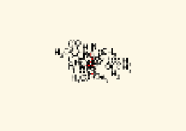 C=CCN1[C@@H]2c3c(cc(C)c(OC)c3O)C[C@@H]1[C@H](C#N)N1C2[C@@H]2SC[C@]3(NCCc4cc(OC(=O)OC(C)(C)C)c(OC)cc43)C(=O)OC[C@H]1c1c3c(c(C)c(O)c12)OCO3